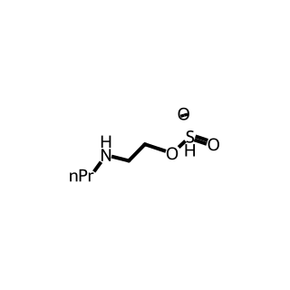 CCCNCCO[SH](=O)=O